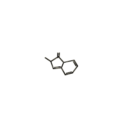 CC1C=C2C=CC=CC2N1